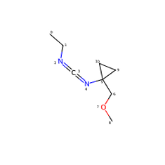 CCN=C=NC1(COC)CC1